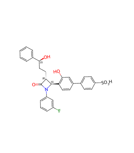 O=C1[C@H](CC[C@H](O)c2ccccc2)[C@@H](c2ccc(-c3ccc(S(=O)(=O)O)cc3)cc2O)N1c1cccc(F)c1